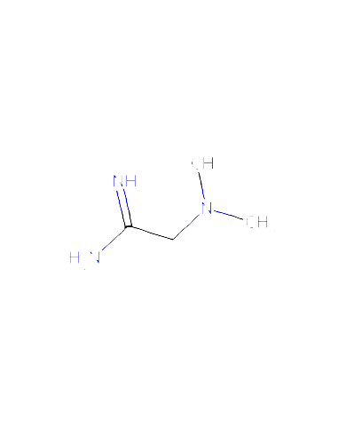 CN(C)CC(=N)N